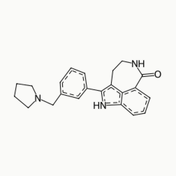 O=C1NCCc2c(-c3cccc(CN4CCCC4)c3)[nH]c3cccc1c23